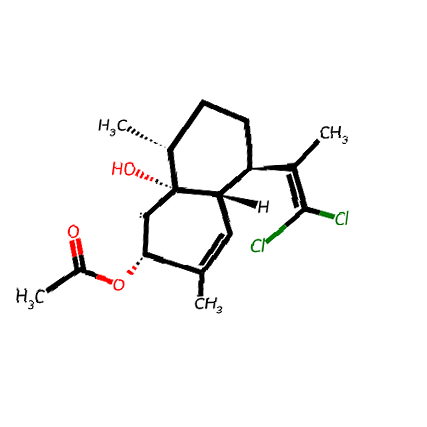 CC(=O)O[C@@H]1[C][C@@]2(O)[C@H](C)CC[C@@H](C(C)=C(Cl)Cl)[C@@H]2C=C1C